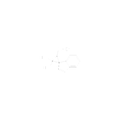 CCOC(=O)C1C(C)(C)C12C=Cc1ccccc12